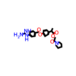 CC(C(=O)OCC(=O)N1CCCCC1)c1ccc(OC(=O)c2ccc(NC(=N)N)cc2)cc1